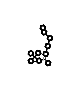 c1ccc(N(c2ccc(-c3ccc(-c4cccc(-c5ccc6ccccc6c5)c4)cc3)cc2)c2ccc3c(c2)C(c2ccccc2)(c2ccccc2)c2ccccc2-3)cc1